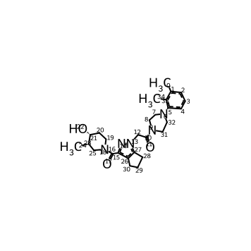 Cc1cccc(N2CCN(C(=O)Cn3nc(C(=O)N4CC[C@@H](O)[C@H](C)C4)c4c3CCC4)CC2)c1C